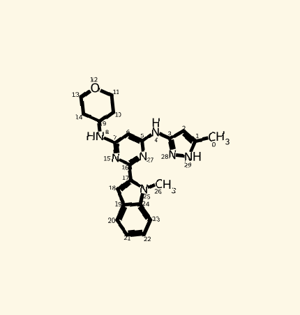 Cc1cc(Nc2cc(NC3CCOCC3)nc(-c3cc4ccccc4n3C)n2)n[nH]1